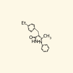 CCc1ccc(Cc2c(C)n(-c3ccccc3)[nH]c2=O)cc1